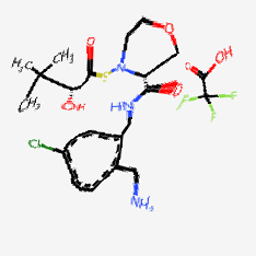 CC(C)(C)[C@@H](O)C(=O)SN1CCOC[C@@H]1C(=O)NCc1cc(Cl)ccc1CN.O=C(O)C(F)(F)F